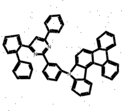 c1ccc(-c2cc(-c3ccccc3-c3ccccc3)nc(-c3cccc(-n4c5ccccc5c5c6c7ccccc7c7ccccc7c6ccc54)c3)n2)cc1